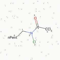 CCCCCCN(Cl)C(=O)C(Cl)(Cl)Cl